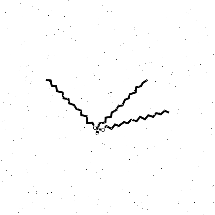 CCCCCCCCCCCCCCCCOP(=O)(CCCCCCCCCCCCCCCC)OCCCCCCCCCCCCCCCC